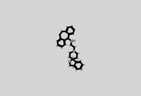 c1ccc2c(c1)CCc1ccccc1C2NCCN1CCC2(CC1)OCc1ccccc12